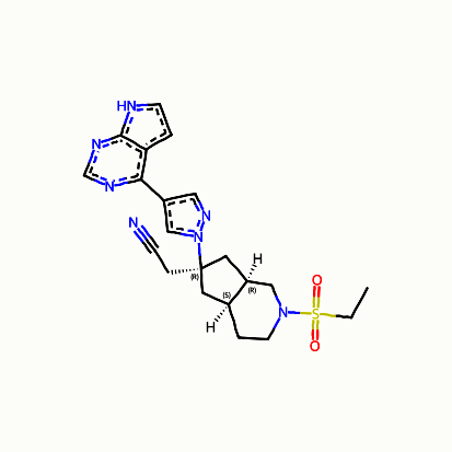 CCS(=O)(=O)N1CC[C@H]2C[C@@](CC#N)(n3cc(-c4ncnc5[nH]ccc45)cn3)C[C@H]2C1